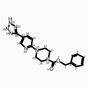 O=C(OCc1ccccc1)N1CCN(c2ccc(-c3nn[nH]n3)cn2)CC1